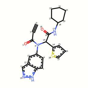 C#CC(=O)N(c1ccc2[nH]ncc2c1)C(C(=O)NC1CCCCC1)c1cccs1